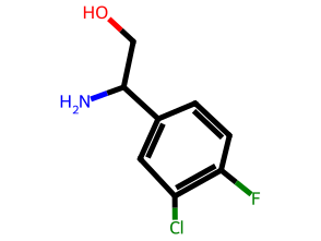 NC(CO)c1ccc(F)c(Cl)c1